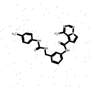 Cc1ccc(NC(=O)NCc2cccc(NC(=O)c3ccn4ncnc(N)c34)c2)cc1